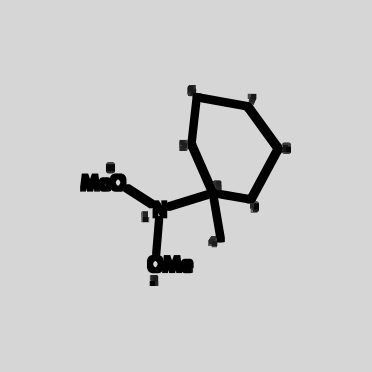 CON(OC)C1(C)CCCCC1